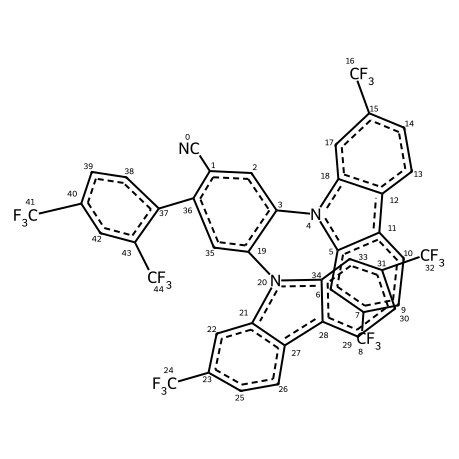 N#Cc1cc(-n2c3cc(C(F)(F)F)ccc3c3ccc(C(F)(F)F)cc32)c(-n2c3cc(C(F)(F)F)ccc3c3ccc(C(F)(F)F)cc32)cc1-c1ccc(C(F)(F)F)cc1C(F)(F)F